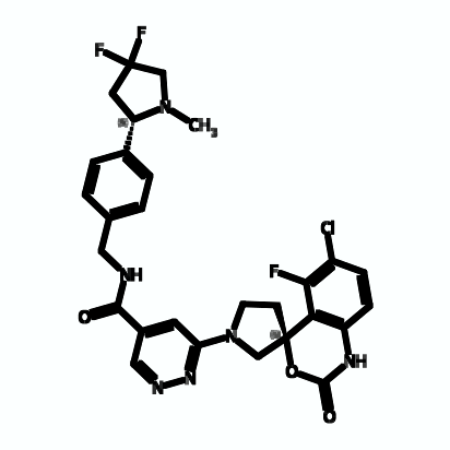 CN1CC(F)(F)C[C@H]1c1ccc(CNC(=O)c2cnnc(N3CC[C@]4(C3)OC(=O)Nc3ccc(Cl)c(F)c34)c2)cc1